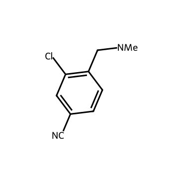 CNCc1ccc(C#N)cc1Cl